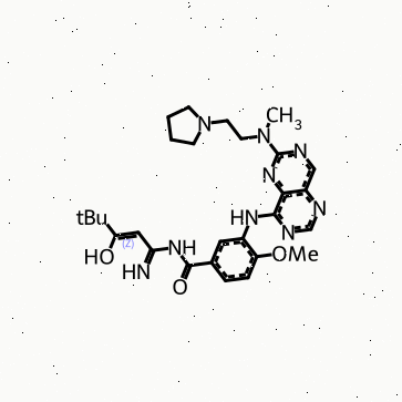 COc1ccc(C(=O)NC(=N)/C=C(\O)C(C)(C)C)cc1Nc1ncnc2cnc(N(C)CCN3CCCC3)nc12